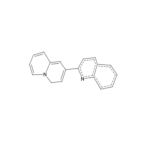 [C]1=C2C=CC=CN2CC=C1c1ccc2ccccc2n1